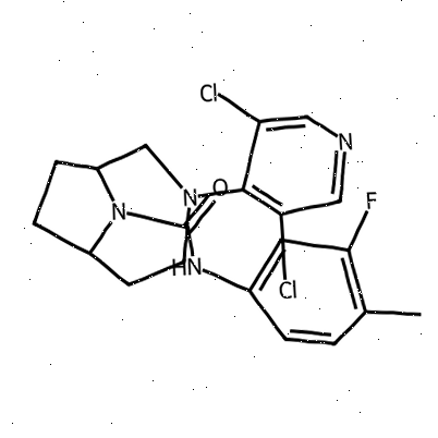 Cc1ccc(NC(=O)N2C3CCC2CN(c2c(Cl)cncc2Cl)CC3)cc1F